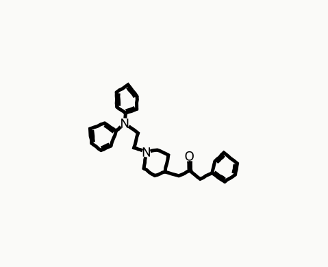 O=C(Cc1ccccc1)CC1CCN(CCN(c2ccccc2)c2ccccc2)CC1